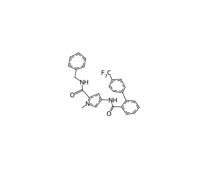 Cn1cc(NC(=O)c2ccccc2-c2ccc(C(F)(F)F)cc2)cc1C(=O)NCc1ccccc1